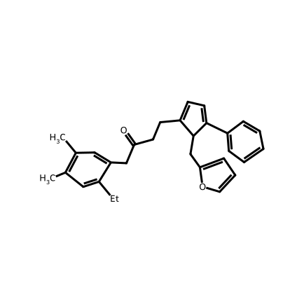 CCc1cc(C)c(C)cc1CC(=O)CCC1=CC=C(c2ccccc2)C1Cc1ccco1